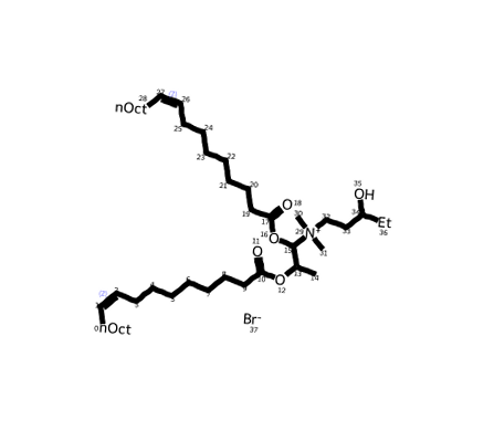 CCCCCCCC/C=C\CCCCCCCC(=O)OC(C)C(OC(=O)CCCCCCC/C=C\CCCCCCCC)[N+](C)(C)CCC(O)CC.[Br-]